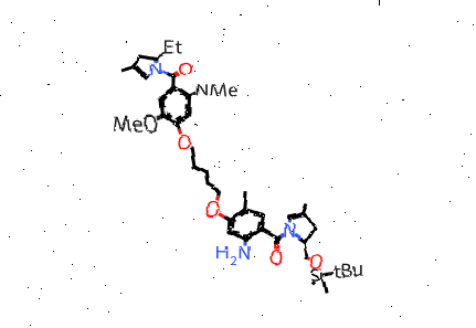 CC[C@@H]1CC(C)=CN1C(=O)c1cc(OC)c(OCCCCCOc2cc(N)c(C(=O)N3C=C(C)C[C@H]3CO[Si](C)(C)C(C)(C)C)cc2C)cc1NC